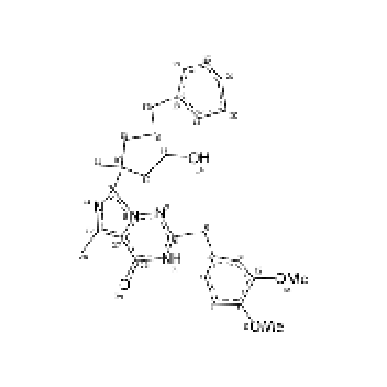 COc1ccc(Cc2nn3c(C(C)(CCO)CCCc4ccccc4)nc(C)c3c(=O)[nH]2)cc1OC